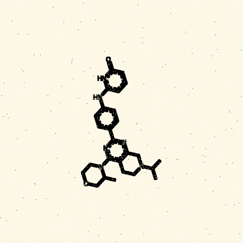 CC(C)N1CCc2c(nc(-c3ccc(Nc4cccc(=O)[nH]4)cc3)nc2N2CCOCC2C)C1